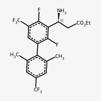 CCOC(=O)C[C@H](N)c1c(F)c(-c2c(C)cc(C(F)(F)F)cc2C)cc(C(F)(F)F)c1F